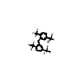 FC(F)(F)c1ccc(C(F)(F)F)c(Cc2cc(C(F)(F)F)ccc2C(F)(F)F)c1